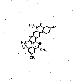 CC(=O)N1CCN2c3cc4c(N[C@H](C)c5cc(N)cc(C(F)(F)F)c5)nc(C)nc4cc3N(C)C(=O)C2C1